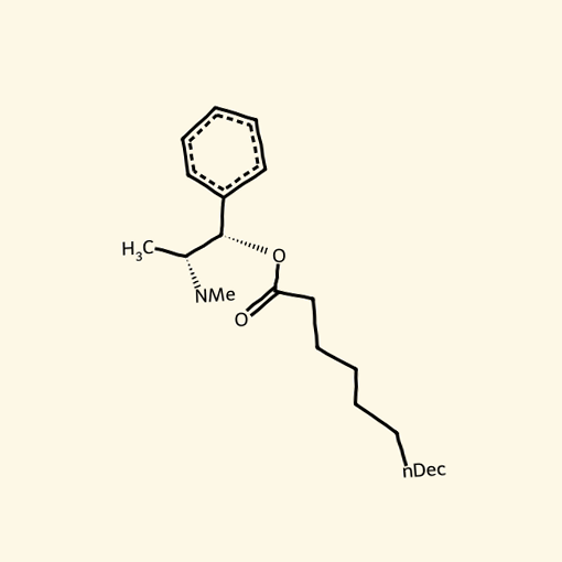 CCCCCCCCCCCCCCCC(=O)O[C@@H](c1ccccc1)[C@@H](C)NC